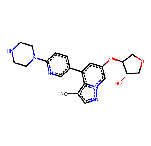 N#Cc1cnn2cc(O[C@H]3COC[C@@H]3O)cc(-c3ccc(N4CCNCC4)nc3)c12